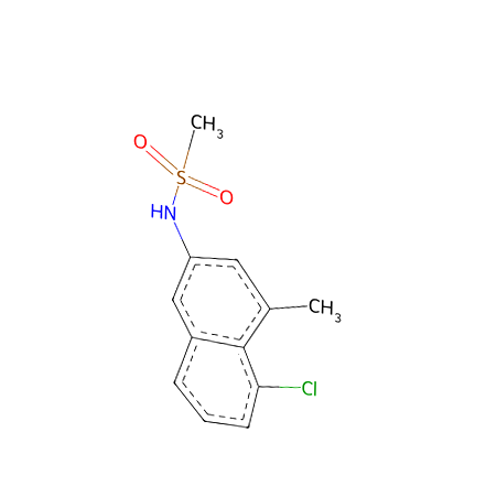 Cc1cc(NS(C)(=O)=O)cc2cccc(Cl)c12